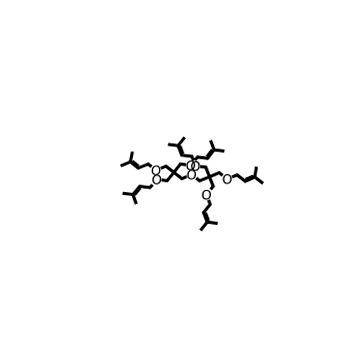 CC(C)=CCOCC(COCC=C(C)C)(COCC=C(C)C)COCC(COCC=C(C)C)(COCC=C(C)C)COCC=C(C)C